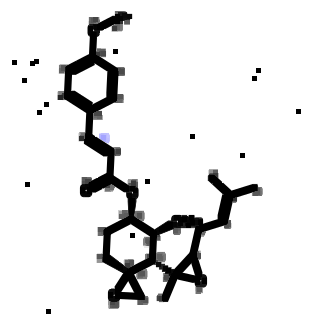 CO[C@H]1[C@H](C2(C)OC2CC=C(C)C)[C@]2(CC[C@H]1OC(=O)/C=C/c1ccc(OC(C)C)cc1)CO2